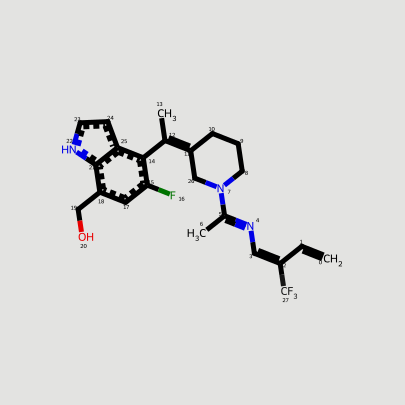 C=C/C(=C\N=C(/C)N1CCC/C(=C(\C)c2c(F)cc(CO)c3[nH]ccc23)C1)C(F)(F)F